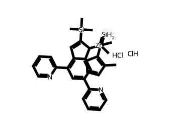 CC1=[C]([Zr]([CH3])([CH3])(=[SiH2])[CH]2C([Si](C)(C)C)=Cc3c(-c4ccccn4)cc(-c4ccccn4)cc32)CC=C1.Cl.Cl